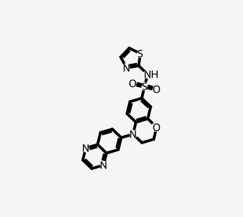 O=S(=O)(Nc1nccs1)c1ccc2c(c1)OCCN2c1ccc2nccnc2c1